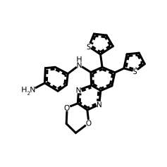 Nc1ccc(Nc2c(-c3cccs3)c(-c3cccs3)cc3nc4c(nc23)OCCO4)cc1